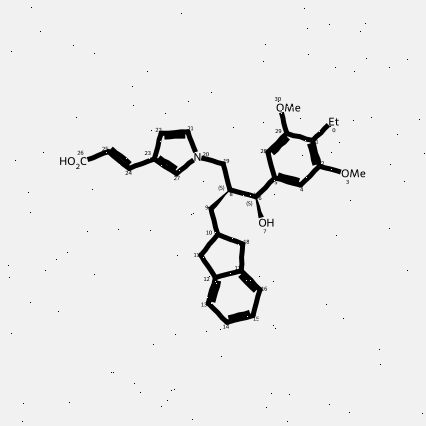 CCc1c(OC)cc([C@@H](O)[C@@H](CC2Cc3ccccc3C2)Cn2ccc(C=CC(=O)O)c2)cc1OC